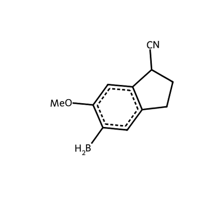 Bc1cc2c(cc1OC)C(C#N)CC2